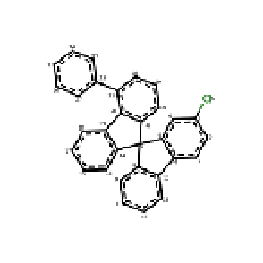 Clc1ccc2c(c1)C1(c3ccccc3-2)c2ccccc2-c2c(-c3ccccc3)cccc21